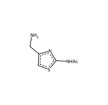 CC(=O)Nc1nc(CN)cs1